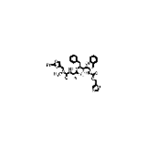 CC(C)c1nc(CN(C)C(=O)N[C@H](C(=O)N[C@@H](Cc2ccccc2)[C@H](O)[C@@H](O)[C@H](Cc2ccccc2)NC(=O)OCc2cnco2)C(C)C)co1